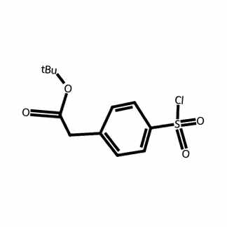 CC(C)(C)OC(=O)Cc1ccc(S(=O)(=O)Cl)cc1